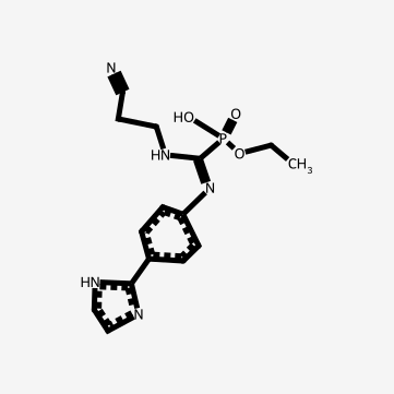 CCOP(=O)(O)C(=Nc1ccc(-c2ncc[nH]2)cc1)NCCC#N